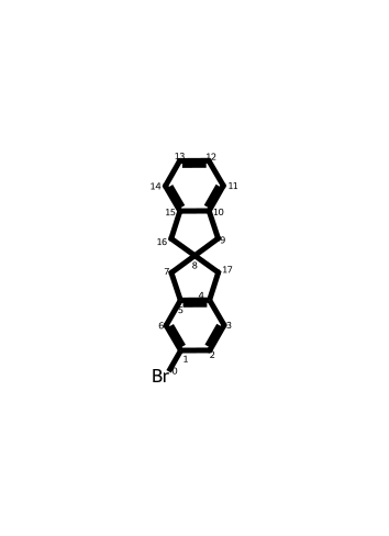 Brc1ccc2c(c1)CC1(Cc3ccccc3C1)C2